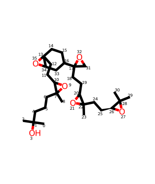 CC(C)(O)CCCC1(C)OC1CCC12CCC(C3(CCC4OC4(C)CC[C@@H]4OC4(C)C)CO3)CC1O2